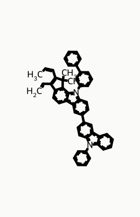 C=CC1=C(/C=C\C)C(C)(C)c2c1ccc1c3cc(-c4ccc5c(c4)c4ccccc4n5-c4ccccc4)ccc3n(-c3cccc(-c4ccccc4)c3)c21